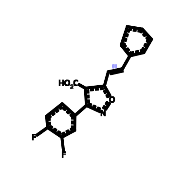 O=C(O)c1c(-c2ccc(F)c(F)c2)noc1/C=C/c1ccccc1